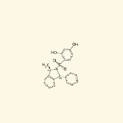 C[C@@H]1c2ccccc2[C@@H](c2ccccc2)N1S(=O)(=O)c1ccc(O)cc1O